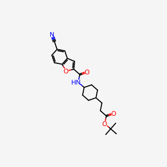 CC(C)(C)OC(=O)CCC1CCC(NC(=O)c2cc3cc(C#N)ccc3o2)CC1